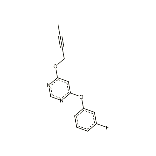 CC#CCOc1cc(Oc2cccc(F)c2)ncn1